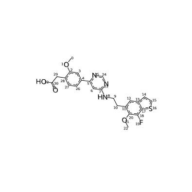 COc1cc(-c2cc(NCCc3cc4ccsc4c(F)c3OC)ncn2)ccc1CC(=O)O